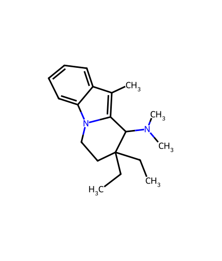 CCC1(CC)CCn2c(c(C)c3ccccc32)C1N(C)C